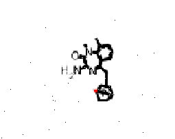 Cc1cccc2c1N(C)C(=O)C(N)N=C2CN1CC2CCC(CC2)C1